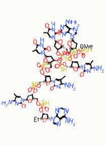 CC[C@H]1O[C@@H](n2cnc3c(N)ncnc32)CC1OP(=O)(S)OC[C@H]1O[C@@H](n2cc(C)c(N)nc2=O)CC1OP(=O)(S)OC[C@H]1O[C@@H](n2cc(C)c(N)nc2=O)CC1OP(=O)(S)OC[C@H]1O[C@@H](n2cc(C)c(=O)[nH]c2=O)CC1OP(=O)(S)OC[C@H]1O[C@@H](n2cc(C)c(N)nc2=O)CC1OP(=O)(S)OC[C@H]1O[C@@H](n2cc(C)c(=O)[nH]c2=O)CC1OP(=O)(S)OC[C@H]1O[C@@H](n2cnc3c(N)ncnc32)CC1OP(=O)(S)OC